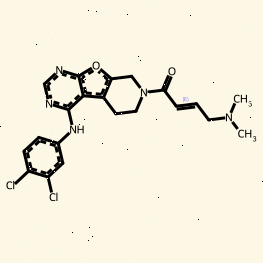 CN(C)C/C=C/C(=O)N1CCc2c(oc3ncnc(Nc4ccc(Cl)c(Cl)c4)c23)C1